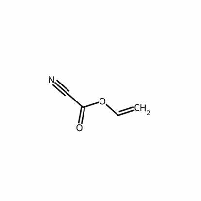 C=COC(=O)C#N